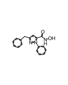 O=C(NO)c1cc(Cc2ccccc2)nn1-c1ccccc1